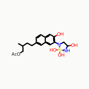 CC(=O)OCC(C)CCc1ccc2cc(O)c(N3CC(O)NS3(O)O)cc2c1